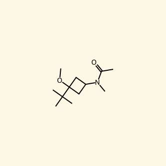 COC1(C(C)(C)C)CC(N(C)C(C)=O)C1